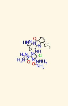 NC(=O)N(N)c1nc(N[C@H](c2nc3c(C(F)(F)F)cccc3c(=O)n2-c2cc[nH]n2)C2CC2)c(Cl)c(N(N)C(N)=O)n1